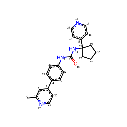 Cc1cc(-c2ccc(NC(=O)NC3(c4ccncc4)CCCC3)cc2)ccn1